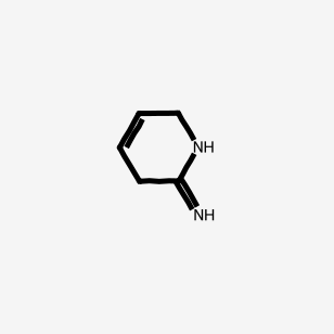 N=C1CC=CCN1